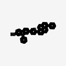 N#Cc1ccc2c3ccc(-c4ccc(-c5ccc6ccc7c(-c8ccccc8)ccc8ccc5c6c87)nc4)cc3n(-c3ccccc3)c2c1